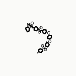 Cc1ccc(S(=O)(=O)c2ccc(Oc3ccc(Oc4ccc(S(=O)(=O)c5ccc(-n6c(=O)n(C)c7ccccc76)cc5)cc4)cc3)cc2)cc1